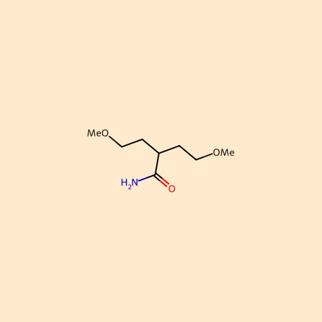 COCCC(CCOC)C(N)=O